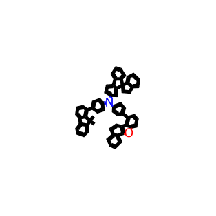 CC1(C)c2ccccc2-c2cccc(-c3ccc(N(c4ccc(-c5cccc6oc7c8ccccc8ccc7c56)cc4)c4ccc5c(c4)C4(CCc6ccccc64)c4ccccc4-5)cc3)c21